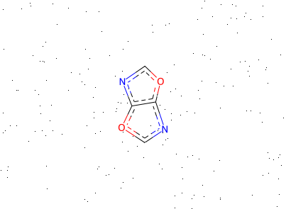 c1nc2ocnc2o1